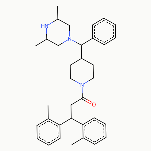 Cc1ccccc1C(CC(=O)N1CCC(C(c2ccccc2)N2CC(C)NC(C)C2)CC1)c1ccccc1C